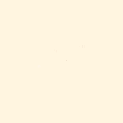 C/C=C\c1csc(CO)n1